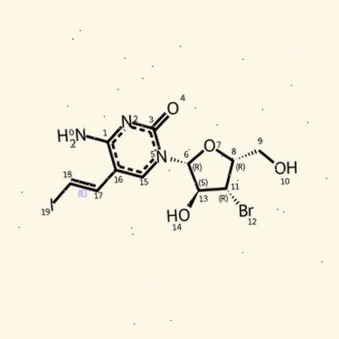 Nc1nc(=O)n([C@@H]2O[C@H](CO)[C@H](Br)[C@H]2O)cc1/C=C/I